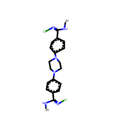 CC(C)N/C(=N/Cl)c1ccc(N2CCN(c3ccc(/C(=N\Cl)NC(C)C)cc3)CC2)cc1